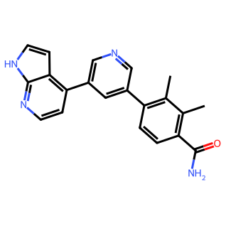 Cc1c(C(N)=O)ccc(-c2cncc(-c3ccnc4[nH]ccc34)c2)c1C